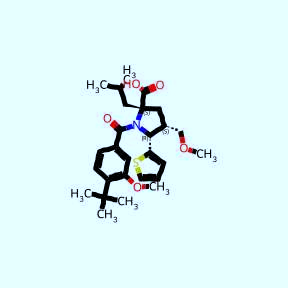 COC[C@H]1C[C@@](CC(C)C)(C(=O)O)N(C(=O)c2ccc(C(C)(C)C)c(OC)c2)[C@H]1c1cccs1